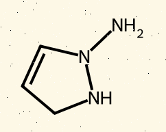 NN1C=CCN1